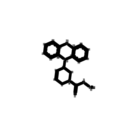 CCCCOC(=O)N1CC=CC(N2c3ccccc3Oc3ccccc32)C1